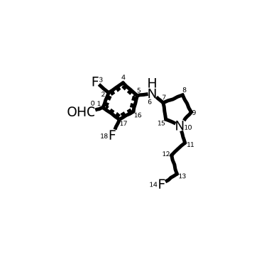 O=Cc1c(F)cc(NC2CCN(CCCF)C2)cc1F